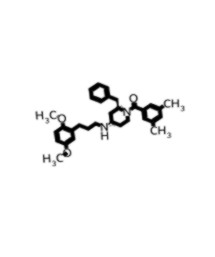 COc1ccc(OC)c(CCCN[C@H]2CCN(C(=O)c3cc(C)cc(C)c3)[C@H](Cc3ccccc3)C2)c1